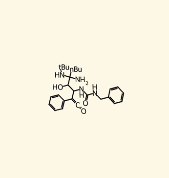 CCCCC(N)(NC(C)(C)C)C(O)C(NC(=O)NCc1ccccc1)C(=C=O)c1ccccc1